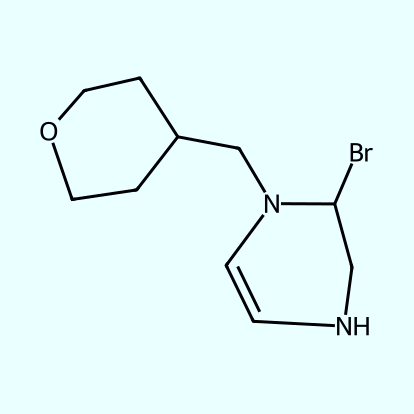 BrC1CNC=CN1CC1CCOCC1